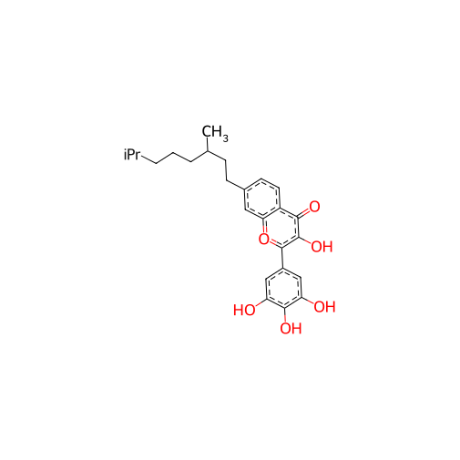 CC(C)CCCC(C)CCc1ccc2c(=O)c(O)c(-c3cc(O)c(O)c(O)c3)oc2c1